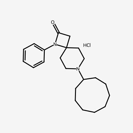 Cl.O=C1CC2(CCN(C3CCCCCCCC3)CC2)N1c1ccccc1